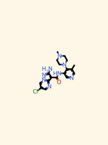 Cc1cncc(NC(=O)c2c(N)nn3cc(Cl)cnc23)c1N1CCN(C)CC1